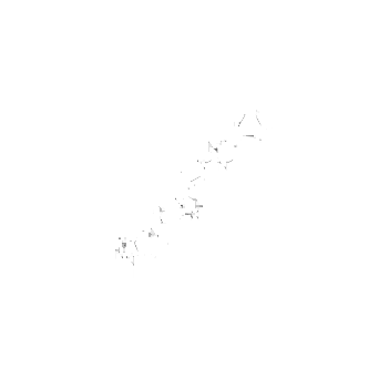 C=N/C(=N\C=C(/C)c1nnc(CC(=O)N2CCc3[nH]nnc3C2)[nH]1)NC1Cc2ccccc2C1